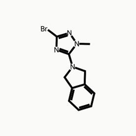 Cn1nc(Br)nc1N1Cc2ccccc2C1